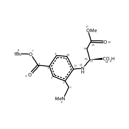 CNCc1cc(C(=O)OC(C)(C)C)ccc1N[C@@H](CC(=O)OC)C(=O)O